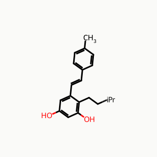 Cc1ccc(/C=C/c2cc(O)cc(O)c2CCC(C)C)cc1